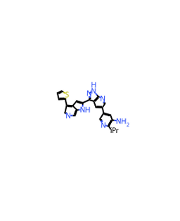 CC(C)c1ncc(-c2cnc3[nH]nc(-c4cc5c(-c6cccs6)cncc5[nH]4)c3c2)cc1N